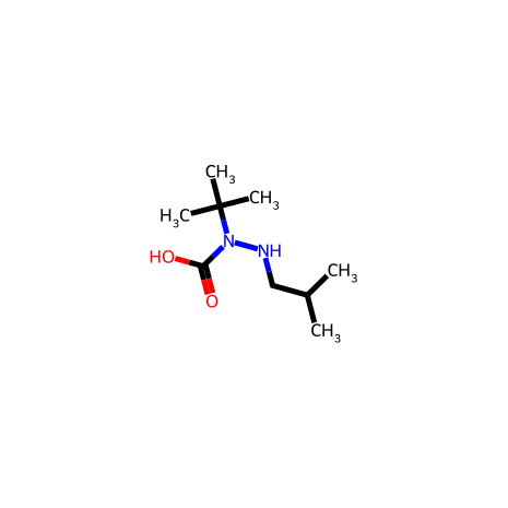 CC(C)CNN(C(=O)O)C(C)(C)C